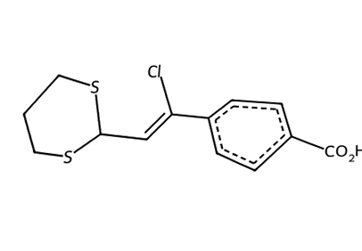 O=C(O)c1ccc(/C(Cl)=C/C2SCCCS2)cc1